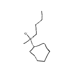 CCCC[N+](C)([O-])C1CCCCC1